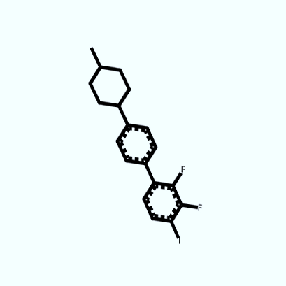 CC1CCC(c2ccc(-c3ccc(I)c(F)c3F)cc2)CC1